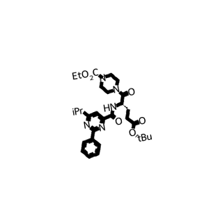 CCOC(=O)N1CCN(C(=O)[C@H](CCC(=O)OC(C)(C)C)NC(=O)c2cc(C(C)C)nc(-c3ccccc3)n2)CC1